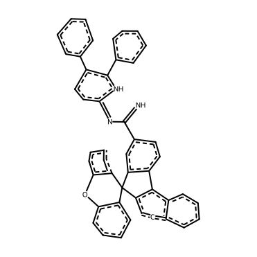 N=C(/N=c1/ccc(-c2ccccc2)c(-c2ccccc2)[nH]1)c1ccc2c(c1)C1(c3ccccc3Oc3ccccc31)c1ccc3ccccc3c1-2